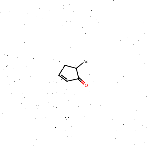 CC(=O)C1CC=CC1=O